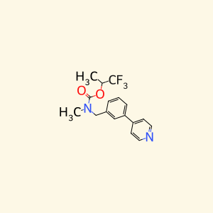 CC(OC(=O)N(C)Cc1cccc(-c2ccncc2)c1)C(F)(F)F